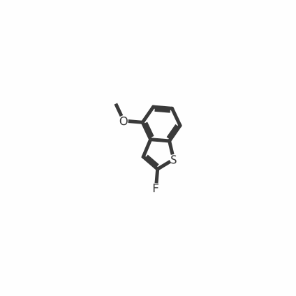 COc1cccc2sc(F)cc12